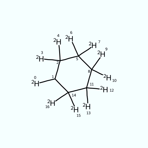 [2H]C1C([2H])([2H])C([2H])([2H])C([2H])([2H])C([2H])([2H])C1([2H])[2H]